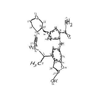 CC(C)c1cc(Nc2nn([C@@H]3COCC[C@H]3C#N)cc2C(N)=O)cc2c1CB(O)O2